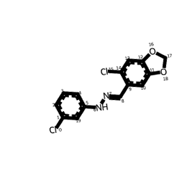 Clc1cccc(N/N=C/c2cc3c(cc2Cl)OCO3)c1